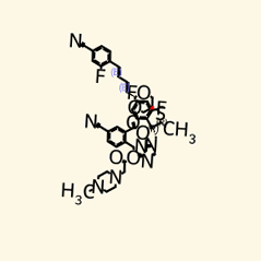 C[C@@H](S[C@H]1CO[C@H](/C=C/C=C/c2ccc(C#N)cc2F)OC1)[C@@](Cn1cncn1)(OC(=O)c1cc(C#N)ccc1COC(=O)CN1CCN(C)CC1)c1ccc(F)cc1F